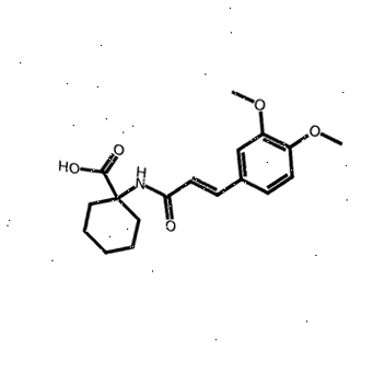 COc1ccc(C=CC(=O)NC2(C(=O)O)CCCCC2)cc1OC